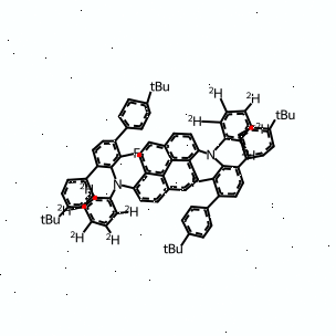 [2H]c1c([2H])c([2H])c(N(c2c(-c3ccc(C(C)(C)C)cc3)ccc(-c3ccc(C(C)(C)C)cc3)c2F)c2ccc3ccc4c(N(c5c([2H])c([2H])c([2H])c([2H])c5[2H])c5c(-c6ccc(C(C)(C)C)cc6)ccc(-c6ccc(C(C)(C)C)cc6)c5F)ccc5ccc2c3c54)c([2H])c1[2H]